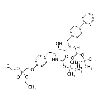 CCOP(=O)(COc1ccc(C[C@H](NC(=O)OC(C)(C)C)[C@@H](O)CN(Cc2ccc(-c3ccccn3)cc2)NC(=O)OC(C)(C)C)cc1)OCC